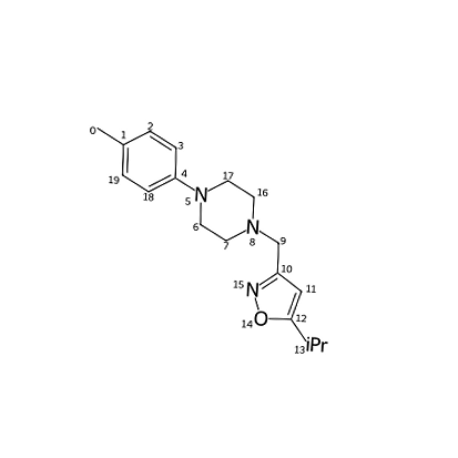 Cc1ccc(N2CCN(Cc3cc(C(C)C)on3)CC2)cc1